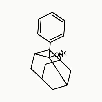 CC(=O)C12CC3CC(C1)C(O)(c1ccccc1)C(C3)C2